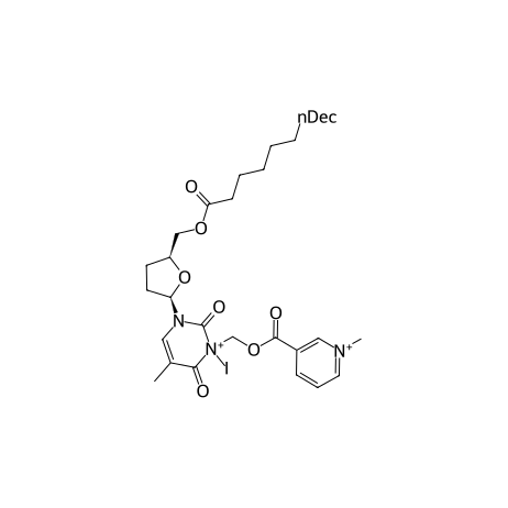 CCCCCCCCCCCCCCCC(=O)OC[C@@H]1CC[C@H](N2C=C(C)C(=O)[N+](I)(COC(=O)c3ccc[n+](C)c3)C2=O)O1